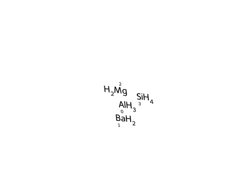 [AlH3].[BaH2].[MgH2].[SiH4]